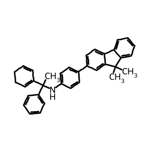 CC(Nc1ccc(-c2ccc3c(c2)C(C)(C)c2ccccc2-3)cc1)(C1=CCCC=C1)c1ccccc1